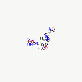 CN(C(=O)c1ccc(C2CCN(Cc3cc4c(-c5ccc6c(cnn6C6CCCCO6)c5)ccnc4n3C)CC2)cc1)c1ccc(CC2CCN(c3ccc(NC4CCC(=O)NC4=O)cc3)CC2)cc1